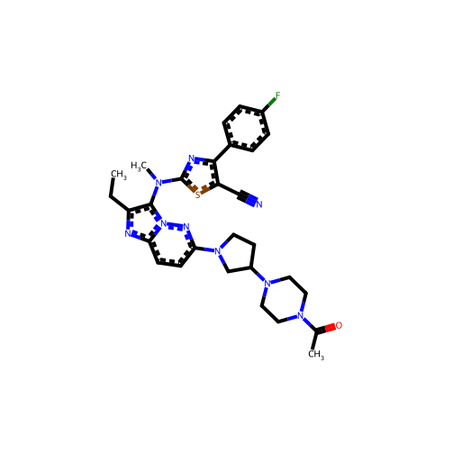 CCc1nc2ccc(N3CCC(N4CCN(C(C)=O)CC4)C3)nn2c1N(C)c1nc(-c2ccc(F)cc2)c(C#N)s1